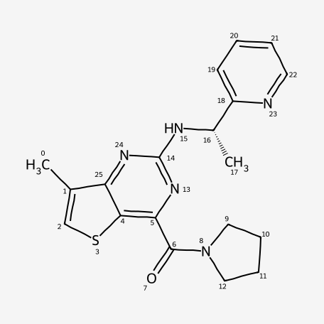 Cc1csc2c(C(=O)N3CCCC3)nc(N[C@@H](C)c3ccccn3)nc12